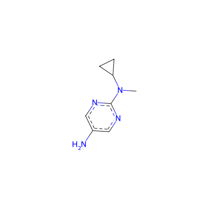 CN(c1ncc(N)cn1)C1CC1